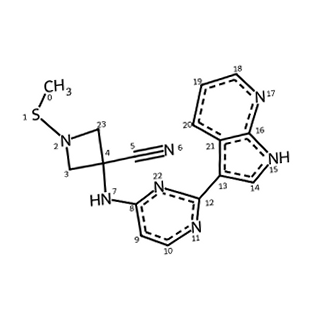 CSN1CC(C#N)(Nc2ccnc(-c3c[nH]c4ncccc34)n2)C1